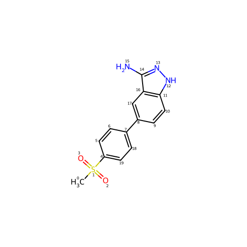 CS(=O)(=O)c1ccc(-c2ccc3[nH]nc(N)c3c2)cc1